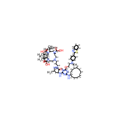 CC(C)CC(Nc1nc(NC2CCCCCCCCCCC2)nc(OCCN(C)c2ccc(-c3nc4ccccc4s3)cc2)n1)C(=O)NCCCN1CCN(C(=O)O)CC(C(C)(C)C)N(C(=O)O)C(C(C)(C)C)C(C(C)(C)C)N(C(=O)O)CC1